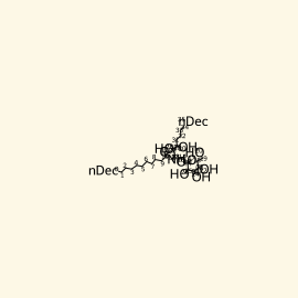 CCCCCCCCCCCCCCCCCCCC(=O)N[C@@H](CO[C@H]1OC(CO)[C@H](O)[C@H](O)C1O)[C@H](O)[C@H](O)CCCCCCCCCCCCCC